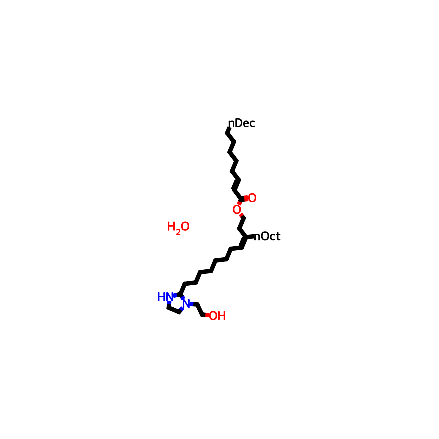 CCCCCCCCCCCCCCCC=CC(=O)OCCC(=CCCCCCCCC1NCCN1CCO)CCCCCCCC.O